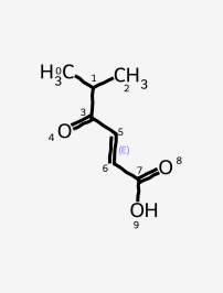 CC(C)C(=O)/C=C/C(=O)O